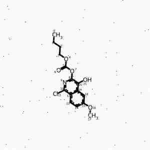 CCCCOC(=O)Oc1nc(Cl)c2ccc(OC)cc2c1O